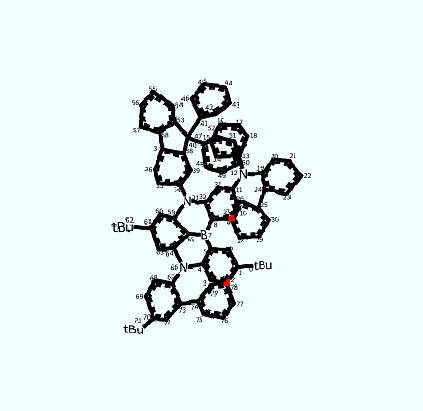 CC(C)(C)c1ccc2c(c1)B1c3ccc(N(c4ccccc4)c4ccccc4-c4ccccc4)cc3N(c3ccc4c(c3)C(c3ccccc3)(c3ccccc3)c3ccccc3-4)c3cc(C(C)(C)C)cc(c31)N2c1ccc(C(C)(C)C)cc1-c1ccccc1